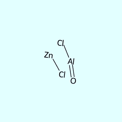 [Cl][Zn].[O]=[Al][Cl]